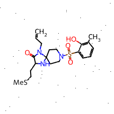 C=CCN1C(=O)C(CCSC)NC12CCN(S(=O)(=O)c1cccc(C)c1O)CC2